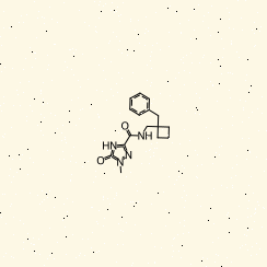 Cn1nc(C(=O)NCC2(Cc3ccccc3)CCC2)[nH]c1=O